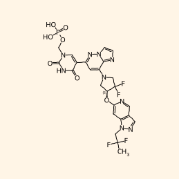 CC(F)(F)Cn1ncc2cnc(O[C@H]3CN(c4cc(-c5cn(COP(=O)(O)O)c(=O)[nH]c5=O)nn5ccnc45)CC3(F)F)cc21